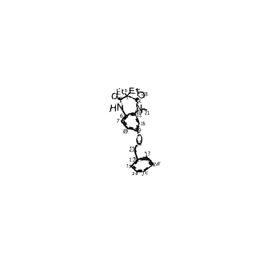 CCC1(CC)C(=O)Nc2ccc(OCc3ccccc3)cc2N(C)C1=O